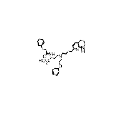 O=C(CCc1ccccc1)NC(CCN(CCCCc1ccc2c(n1)NCCC2)CCOc1ccccc1)C(=O)O